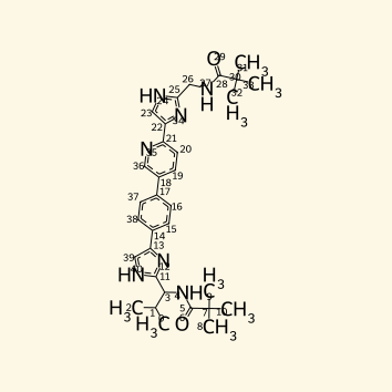 CC(C)C(NC(=O)C(C)(C)C)c1nc(-c2ccc(-c3ccc(-c4c[nH]c(CNC(=O)C(C)(C)C)n4)nc3)cc2)c[nH]1